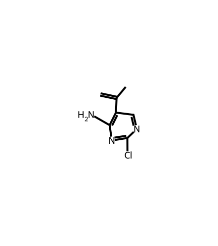 C=C(C)c1cnc(Cl)nc1N